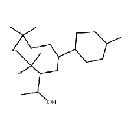 CC1CCC(C(CCC(C)(C)C)CC(C(C)O)C(C)(C)C)CC1